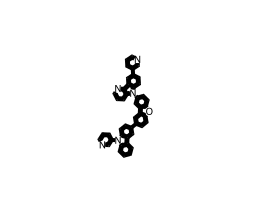 c1cncc(-c2ccc3c(c2)c2ncccc2n3-c2ccc3oc4ccc(-c5ccc6c(c5)c5ccccc5n6-c5cccnc5)cc4c3c2)c1